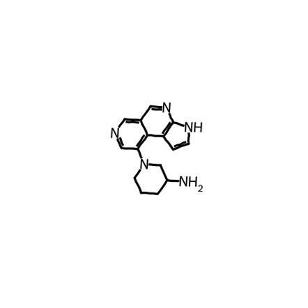 NC1CCCN(c2cncc3cnc4[nH]ccc4c23)C1